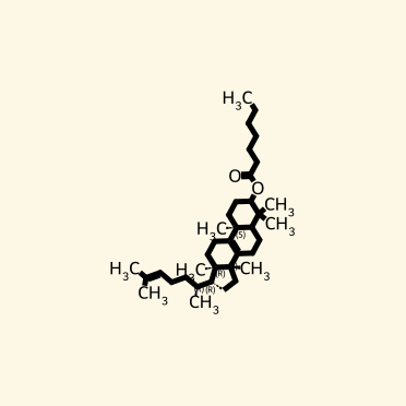 CCCCCCC(=O)OC1CC[C@]2(C)C3=C(CCC2C1(C)C)[C@]1(C)CC[C@H]([C@H](C)CCC=C(C)C)[C@@]1(C)CC3